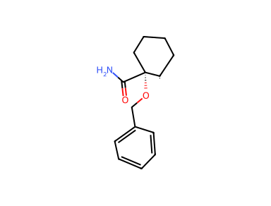 NC(=O)[C@]1(OCc2ccccc2)[CH]CCCC1